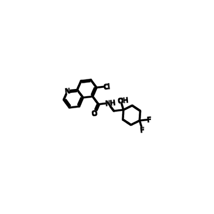 O=C(NCC1(O)CCC(F)(F)CC1)c1c(Cl)ccc2ncccc12